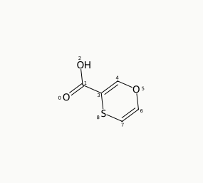 O=C(O)C1=COC=CS1